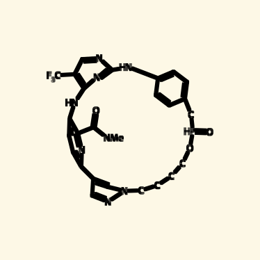 CNC(=O)c1nc2ccc1Nc1nc(ncc1C(F)(F)F)Nc1ccc(cc1)C[PH](=O)OCCCCn1cc-2cn1